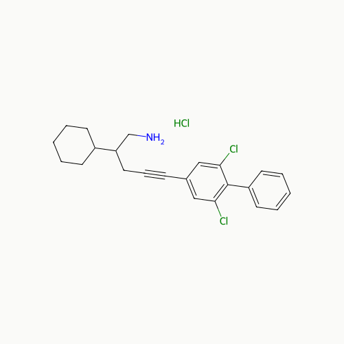 Cl.NCC(CC#Cc1cc(Cl)c(-c2ccccc2)c(Cl)c1)C1CCCCC1